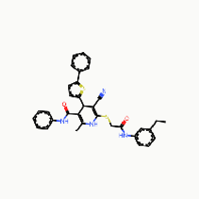 CCc1cccc(NC(=O)CSC2=C(C#N)C(c3ccc(-c4ccccc4)s3)C(C(=O)Nc3ccccc3)=C(C)N2)c1